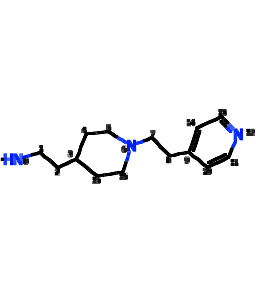 [NH]CCC1CCN(CCc2ccncc2)CC1